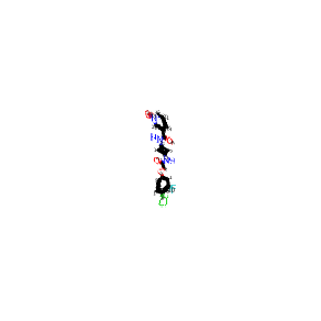 O=C(COc1ccc(Cl)c(F)c1)NC12CC(NC(=O)c3ccc[n+]([O-])c3)(C1)C2